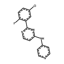 Fc1ccc(Cl)cc1-c1nccc(Nc2ccncc2)n1